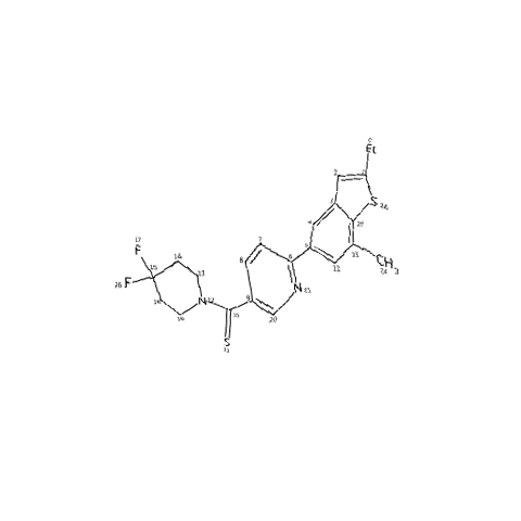 CCc1cc2cc(-c3ccc(C(=S)N4CCC(F)(F)CC4)cn3)cc(C)c2s1